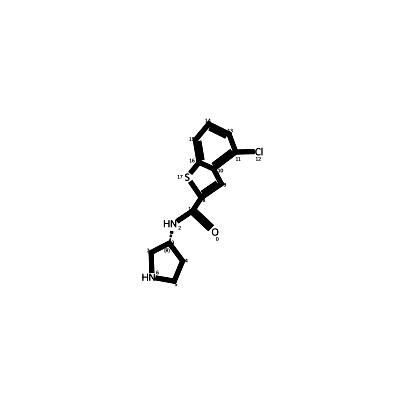 O=C(N[C@@H]1CCNC1)c1cc2c(Cl)cccc2s1